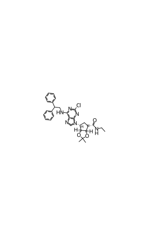 CCNC(=O)[C@H]1C[C@@H](n2cnc3c(NCC(c4ccccc4)c4ccccc4)nc(Cl)nc32)[C@@H]2OC(C)(C)O[C@@H]21